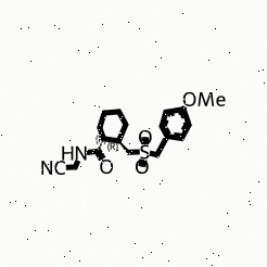 COc1ccc(CS(=O)(=O)C[C@@H]2CCCC[C@H]2C(=O)NCC#N)cc1